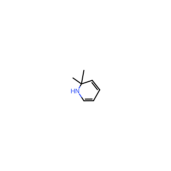 CC1(C)C=CC=CN1